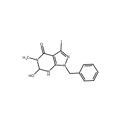 CN1C(=O)c2c(I)nn(Cc3ccccc3)c2NC1O